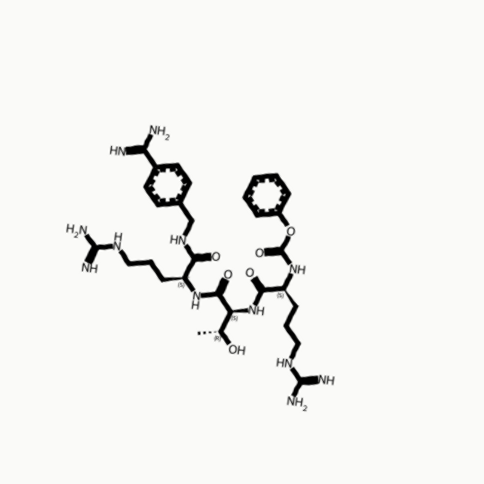 C[C@@H](O)[C@H](NC(=O)[C@H](CCCNC(=N)N)NC(=O)Oc1ccccc1)C(=O)N[C@@H](CCCNC(=N)N)C(=O)NCc1ccc(C(=N)N)cc1